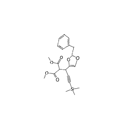 COC(=O)C(C(=O)OC)C(C#C[Si](C)(C)C)C1=COC(Cc2ccccc2)O1